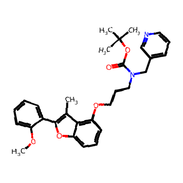 COc1ccccc1-c1oc2cccc(OCCCN(Cc3cccnc3)C(=O)OC(C)(C)C)c2c1C